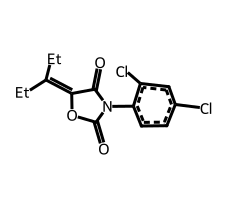 CCC(CC)=C1OC(=O)N(c2ccc(Cl)cc2Cl)C1=O